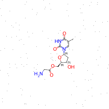 Cc1cn([C@H]2C[C@H](O)[C@@H](COC(=O)CN)O2)c(=O)[nH]c1=O